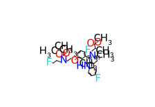 COC(=O)C(C)CN1[C@H](c2c(F)ccc(OCCN(CCCF)C(=O)OC(C)(C)C)c2C)c2[nH]c3ccc(F)cc3c2C[C@H]1C